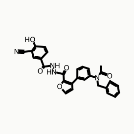 CC(=O)N(Cc1ccccc1)c1cccc(-c2ccoc2C(=O)NNC(=O)c2ccc(O)c(C#N)c2)c1